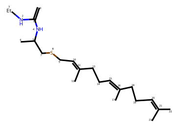 C=C(NCC)NC(C)CSC/C=C(\C)CC/C=C(\C)CCC=C(C)C